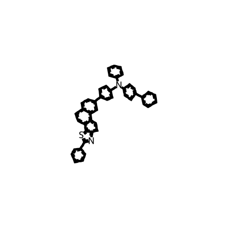 c1ccc(-c2ccc(N(c3ccccc3)c3ccc(-c4ccc5ccc6c(ccc7nc(-c8ccccc8)sc76)c5c4)cc3)cc2)cc1